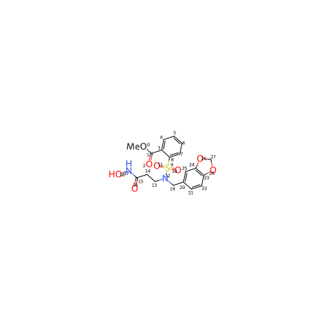 COC(=O)c1ccccc1S(=O)(=O)N(CCC(=O)NO)Cc1ccc2c(c1)OCO2